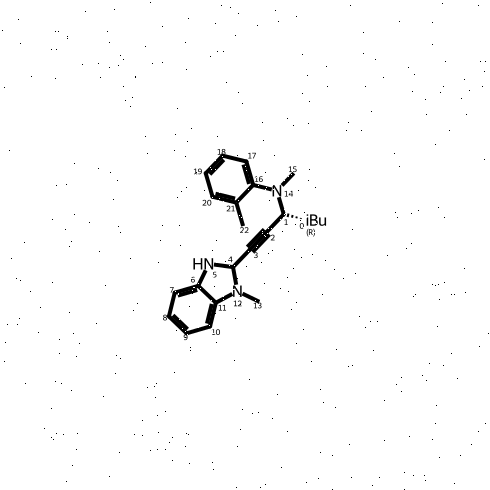 CC[C@@H](C)C(C#CC1Nc2ccccc2N1C)N(C)c1ccccc1C